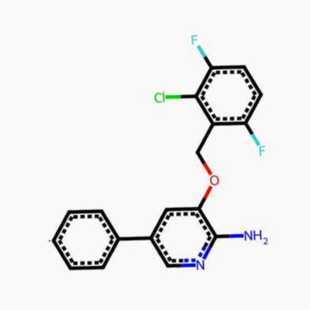 Nc1ncc(-c2cc[c]cc2)cc1OCc1c(F)ccc(F)c1Cl